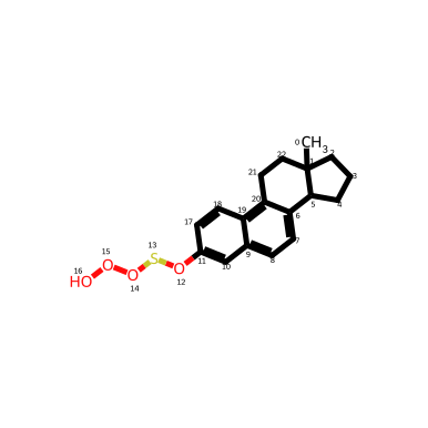 CC12CCCC1c1ccc3cc(OSOOO)ccc3c1CC2